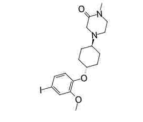 COc1cc(I)ccc1O[C@H]1CC[C@H](N2CCN(C)C(=O)C2)CC1